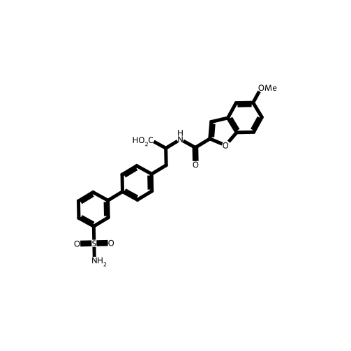 COc1ccc2oc(C(=O)NC(Cc3ccc(-c4cccc(S(N)(=O)=O)c4)cc3)C(=O)O)cc2c1